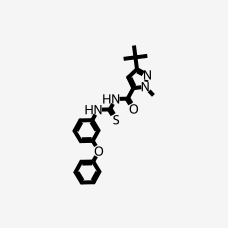 Cn1nc(C(C)(C)C)cc1C(=O)NC(=S)Nc1cccc(Oc2ccccc2)c1